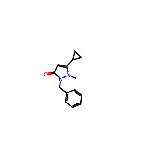 Cn1c(C2CC2)cc(=O)n1Cc1ccccc1